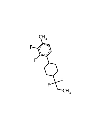 CCC(F)(F)C1CCC(c2ccc(C)c(F)c2F)CC1